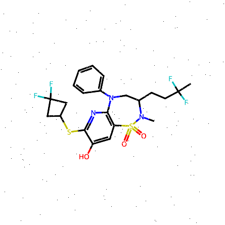 CN1C(CCC(C)(F)F)CN(c2ccccc2)c2nc(SC3CC(F)(F)C3)c(O)cc2S1(=O)=O